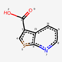 O=C(O)c1csc2ncccc12